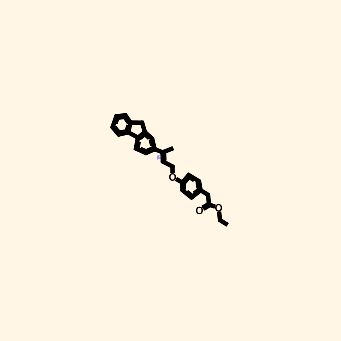 CCOC(=O)Cc1ccc(OC/C=C(\C)c2ccc3c(c2)Cc2ccccc2-3)cc1